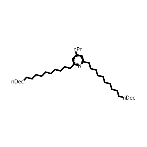 [CH2]CCc1cc(CCCCCCCCCCCCCCCCCCCC)nc(CCCCCCCCCCCCCCCCCCCC)c1